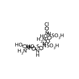 Nc1cc(O)ccc1/N=N/c1ccc(Nc2ccc(/N=N/c3c(S(=O)(=O)O)cc4cc(S(=O)(=O)O)c(/N=N/c5ccc(Cl)cc5)c(O)c4c3N)cc2S(=O)(=O)O)cc1